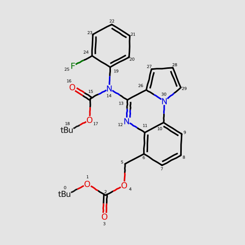 CC(C)(C)OC(=O)OCc1cccc2c1nc(N(C(=O)OC(C)(C)C)c1ccccc1F)c1cccn12